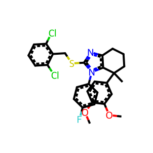 COc1ccc(C2(C)CCCc3nc(SCc4c(Cl)cccc4Cl)n(-c4ccc(F)cc4)c32)cc1OC